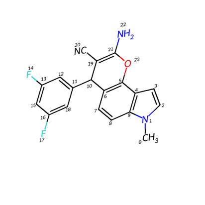 Cn1ccc2c3c(ccc21)C(c1cc(F)cc(F)c1)C(C#N)=C(N)O3